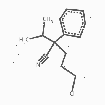 CC(C)C(C#N)(CCCCl)c1ccccc1